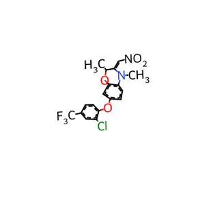 CC1Oc2cc(Oc3ccc(C(F)(F)F)cc3Cl)ccc2N(C)C1=C[N+](=O)[O-]